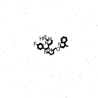 CNc1nccc(-c2c(-c3ccc(F)cc3)nc3n2C(COc2cc(C)c4ccccc4n2)CC3)n1